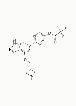 O=C(Oc1ccc(-c2cc(OCC3CNC3)c3cn[nH]c3c2)nc1)C(F)(F)F